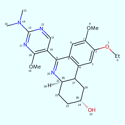 CCOc1cc2c(cc1OC)C(c1cnc(N(C)C)nc1OC)=N[C@@H]1CC[C@@H](O)CC21